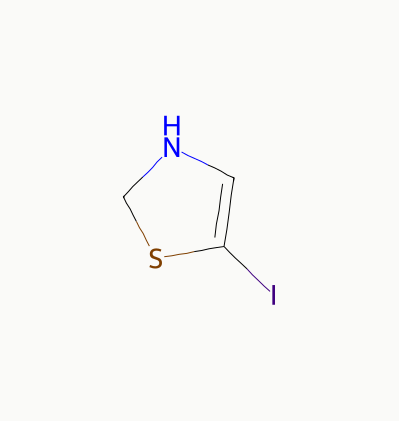 IC1=CNCS1